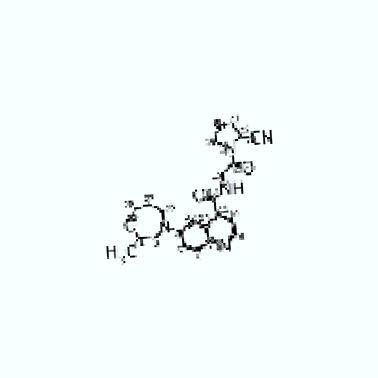 CC1CN(c2ccc3nccc(C(=O)NCC(=O)N4CSCC4C#N)c3c2)CCCO1